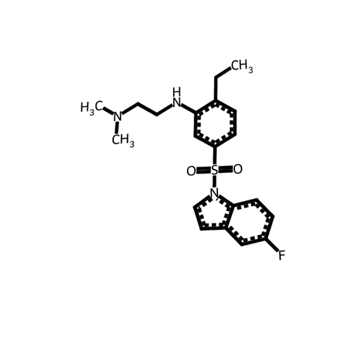 CCc1ccc(S(=O)(=O)n2ccc3cc(F)ccc32)cc1NCCN(C)C